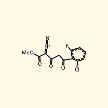 COC(=O)C(=[N+]=[N-])C(=O)CC(=O)c1c(F)cccc1Cl